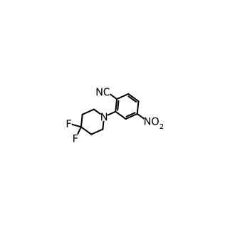 N#Cc1ccc([N+](=O)[O-])cc1N1CCC(F)(F)CC1